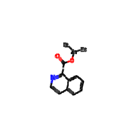 C[CH2][Zn]([CH2]C)[O]C(=O)c1nccc2ccccc12